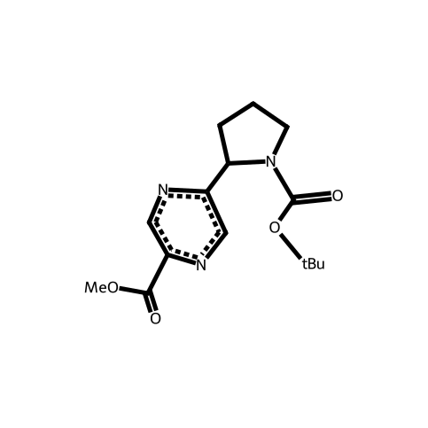 COC(=O)c1cnc(C2CCCN2C(=O)OC(C)(C)C)cn1